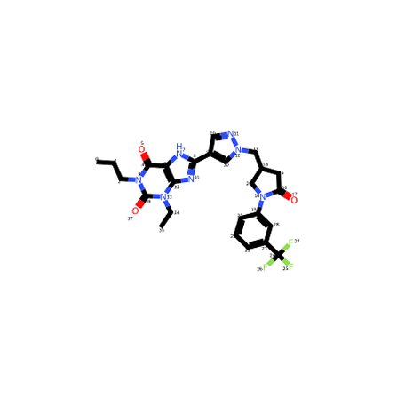 CCCn1c(=O)c2[nH]c(-c3cnn(CC4CC(=O)N(c5cccc(C(F)(F)F)c5)C4)c3)nc2n(CC)c1=O